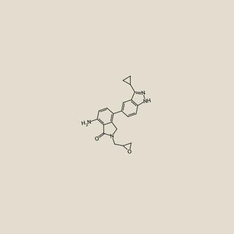 Nc1ccc(-c2ccc3[nH]nc(C4CC4)c3c2)c2c1C(=O)N(CC1CO1)C2